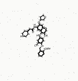 COc1ccccc1COc1ccc(Nc2c(C#N)cnc3cc(OC4CCOC4)c(NC(=O)C=C4CCNCC4)cc23)cc1Cl